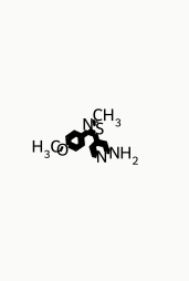 COc1ccc(-c2nc(C)sc2-c2ccnc(N)c2)cc1